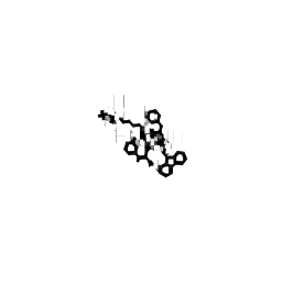 CC(=C(C#N)C#N)c1cccc(NC(=O)C(CCCCNC(=O)OC(C)(C)C)NC(=O)C(CC2CCCCC2)NC(=O)OCC2c3ccccc3-c3ccccc32)c1